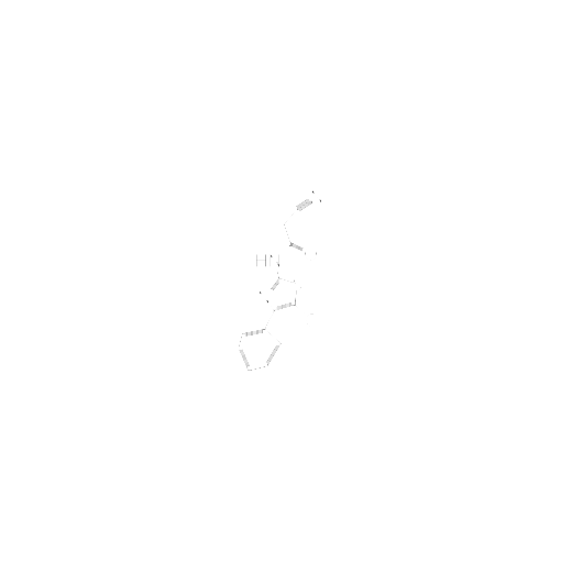 N#CCC(=O)Nc1nc(-c2ccccc2)c(Cl)s1